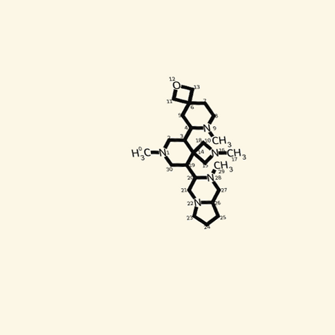 CN1CC(C2CC3(CCN2C)COC3)C2(CN(C)C2)C(C2CN3CCCC3CN2C)C1